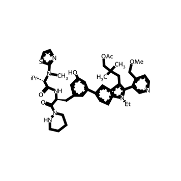 CCn1c(-c2cnccc2COC)c(CC(C)(C)COC(C)=O)c2cc(-c3cc(O)cc(C[C@H](NC(=O)[C@H](C(C)C)N(C)c4nccs4)C(=O)N4CCCCN4)c3)ccc21